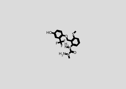 CSc1cccc(N(N)C(=O)N(C)N)c1COc1ccc(O)cc1C(F)(F)F